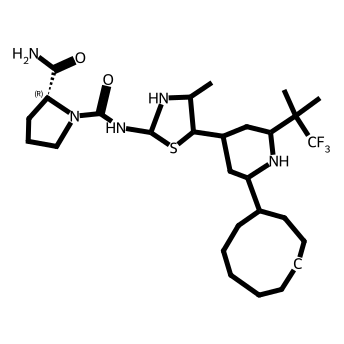 CC1NC(NC(=O)N2CCC[C@@H]2C(N)=O)SC1C1CC(C2CCCCCCCC2)NC(C(C)(C)C(F)(F)F)C1